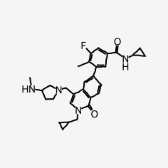 CNC1CCN(Cc2cn(CC3CC3)c(=O)c3ccc(-c4cc(C(=O)NC5CC5)cc(F)c4C)cc23)C1